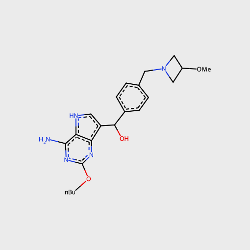 CCCCOc1nc(N)c2[nH]cc(C(O)c3ccc(CN4CC(OC)C4)cc3)c2n1